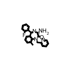 Cc1cccc2c1N(Cc1ccccn1)C(=O)[C@@H](N)N=C2c1ccccc1F